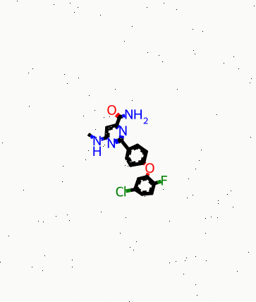 CNc1cc(C(N)=O)nc(-c2ccc(Oc3cc(Cl)ccc3F)cc2)n1